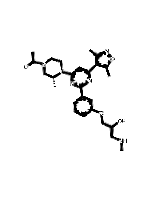 CNCC(O)COc1cccc(-c2nc(-c3c(C)noc3C)cc(N3CCN(C(C)=O)C[C@H]3C)n2)c1